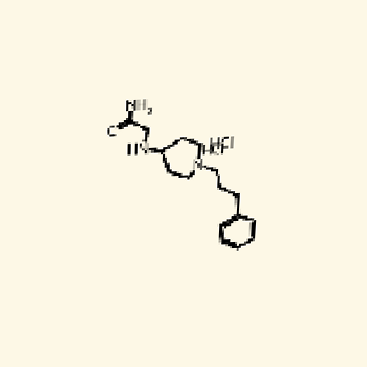 Cl.Cl.NC(=O)CNC1CCN(CCCc2ccccc2)CC1